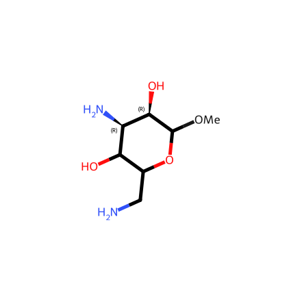 COC1OC(CN)C(O)[C@@H](N)[C@H]1O